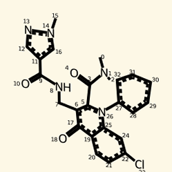 CN(C)C(=O)c1c(CNC(=O)c2cnn(C)c2)c(=O)c2ccc(Cl)cc2n1-c1ccccc1